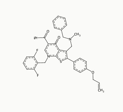 C=CCOc1ccc(-c2sc3c(c2CN(C)Cc2ccccc2)c(=O)c(C(=O)C(C)C)cn3Cc2c(F)cccc2F)cc1